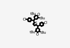 CC(C)(C)C1=CC(=C(c2ccc(Cl)cc2)c2ccc(C(=C3C=C(C(C)(C)C)C(=O)C(C(C)(C)C)=C3)c3ccc(Cl)cc3)s2)C=C(C(C)(C)C)C1=O